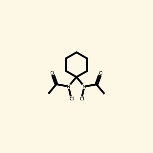 CC(=O)N(Cl)C1(N(Cl)C(C)=O)CCCCC1